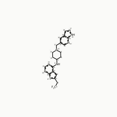 FC(F)(F)Cc1cc2c(NC3CCN(Cc4cnc5[nH]ncc5c4)CC3)ncnc2s1